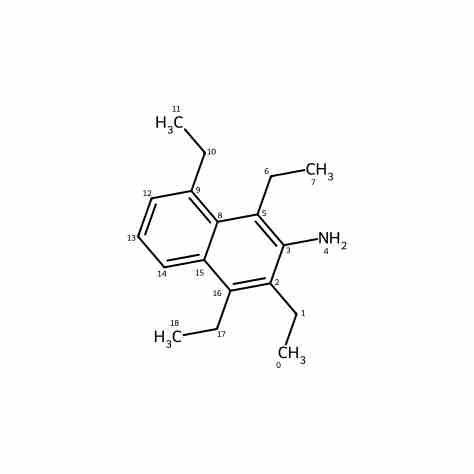 CCc1c(N)c(CC)c2c(CC)cccc2c1CC